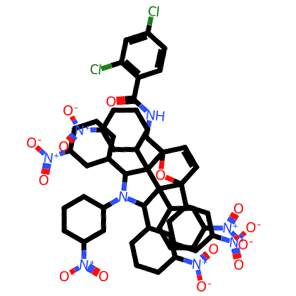 O=C(NCC12C=CC(C3CCCC([N+](=O)[O-])C3)(O1)C1(C3CCCC([N+](=O)[O-])C3)C(C3CCCC([N+](=O)[O-])C3)N(C3CCCC([N+](=O)[O-])C3)C(C3CCCC([N+](=O)[O-])C3)C21C1CCCC([N+](=O)[O-])C1)c1ccc(Cl)cc1Cl